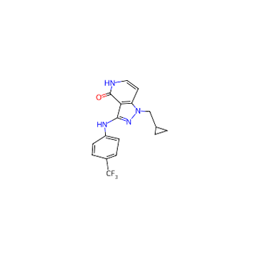 O=c1[nH]ccc2c1c(Nc1ccc(C(F)(F)F)cc1)nn2CC1CC1